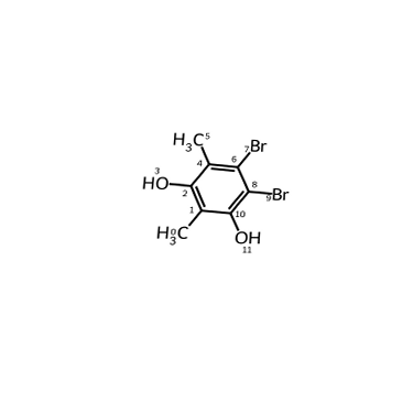 Cc1c(O)c(C)c(Br)c(Br)c1O